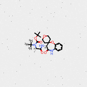 [2H]C([2H])([2H])N(C(=O)OC(C)(C)C)[C@@H](C)C(=O)N[C@H]1C(=O)Nc2ccccc2OC12CCOCC2